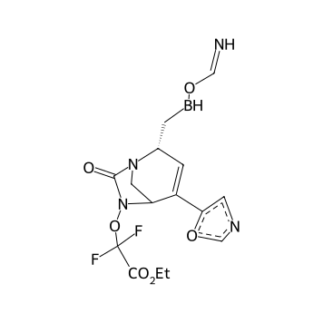 CCOC(=O)C(F)(F)ON1C(=O)N2CC1C(c1cnco1)=C[C@H]2CBOC=N